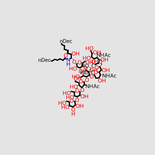 CCCCCCCCCCCCC/C=C/[C@@H](O)[C@H](CO[C@@H]1OC(CO)[C@@H](O[C@@H]2OC(CO)[C@H](O[C@@H]3OC(CO)[C@H](O)[C@H](O[C@@H]4OC(CO)[C@H](O)[C@H](O[C@H]5OC(CO)[C@H](O)[C@H](O)C5O)C4O)C3NC(C)=O)[C@H](O[C@]3(C(=O)O)CC(O)[C@@H](NC(C)=O)C([C@H](O)[C@@H](CO)O[C@]4(C(=O)O)CC(O)[C@@H](NC(C)=O)C([C@H](O)[C@H](O)CO)O4)O3)C2O)[C@H](O)C1O)NC(=O)CCCCCCCCCCCCCCC